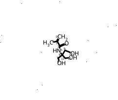 C=C(C)C(=O)NC(CO)(CO)CO